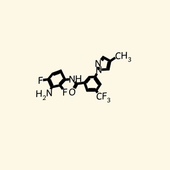 Cc1cnn(-c2cc(C(=O)Nc3ccc(F)c(N)c3F)cc(C(F)(F)F)c2)c1